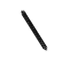 C=COOOOOOOOOOOOOOOOOOOOOOOOOOOOOOOOOOOOOOOC=C